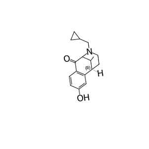 CC1C2C(=O)c3ccc(O)cc3[C@@H]1CCN2CC1CC1